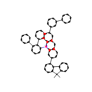 CC1(C)c2ccccc2-c2c(-c3cccc(N(c4ccc(-c5cccc(-c6ccccc6)c5)cc4)c4cccc(-c5ccccc5)c4-c4ccccc4-c4ccccc4)c3)cccc21